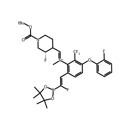 C/[N+](=C\C1CCN(C(=O)OC(C)(C)C)C[C@H]1F)c1c(/C=C(\F)B2OC(C)(C)C(C)(C)O2)ccc(Oc2ccccc2F)c1C(F)(F)F